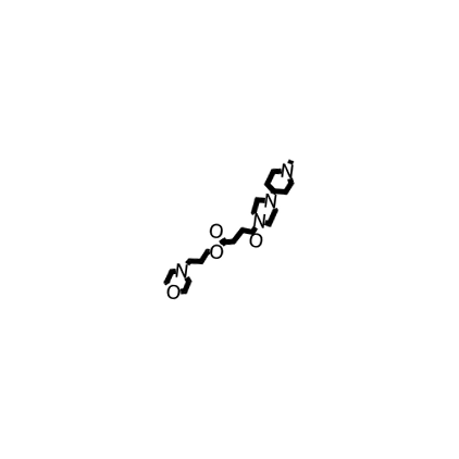 CN1CCC(N2CCN(C(=O)CCC(=O)OCCCN3CCOCC3)CC2)CC1